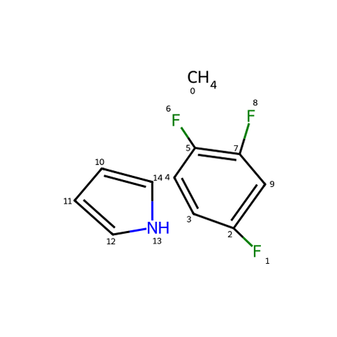 C.Fc1ccc(F)c(F)c1.c1cc[nH]c1